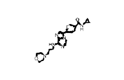 O=C(NC1CC1)c1ccc(-c2cnc3c(NCCCN4CCOCC4)nccn23)cc1